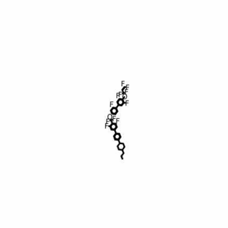 CCCC1CCC(c2ccc(-c3cc(F)c(C(F)(F)Oc4ccc(-c5cc(F)c(OC(F)(F)C=C(F)F)c(F)c5)c(F)c4)c(F)c3)cc2)CC1